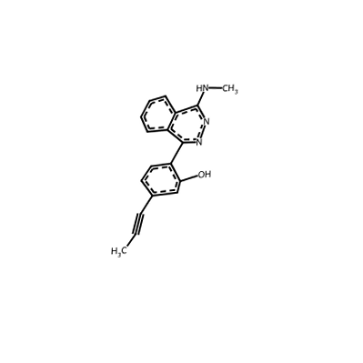 CC#Cc1ccc(-c2nnc(NC)c3ccccc23)c(O)c1